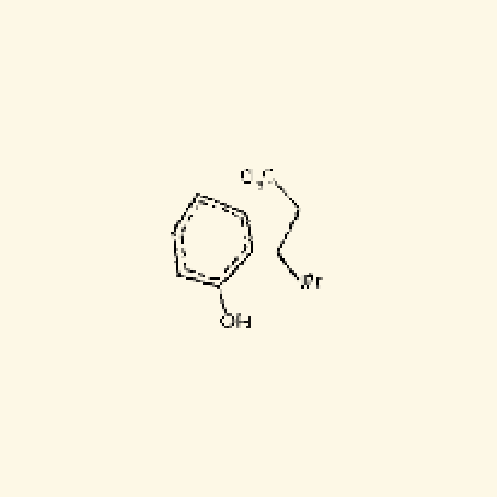 CC(C)CCC(Cl)(Cl)Cl.Oc1ccccc1